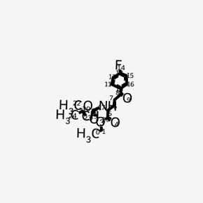 CCOC(=O)C(CCC(=O)c1ccc(F)cc1)NC(=O)OC(C)(C)C